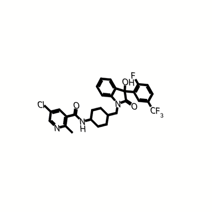 Cc1ncc(Cl)cc1C(=O)NC1CCC(CN2C(=O)C(O)(c3cc(C(F)(F)F)ccc3F)c3ccccc32)CC1